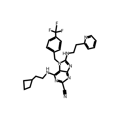 N#Cc1nc(NCCC2CCC2)c2c(n1)nc(NCCc1ccccn1)n2Cc1ccc(C(F)(F)F)cc1